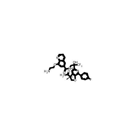 C[C@]1(C(N)=O)COc2c1cc(C(O)(CNC(=O)c1cc(OCCN)c3ncccc3c1)C(F)(F)F)nc2-c1ccc(F)cc1